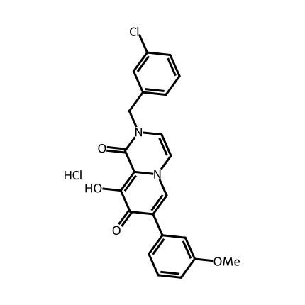 COc1cccc(-c2cn3ccn(Cc4cccc(Cl)c4)c(=O)c3c(O)c2=O)c1.Cl